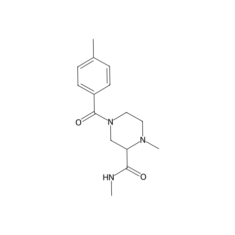 CNC(=O)C1CN(C(=O)c2ccc(C)cc2)CCN1C